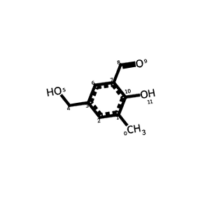 Cc1cc(CO)cc(C=O)c1O